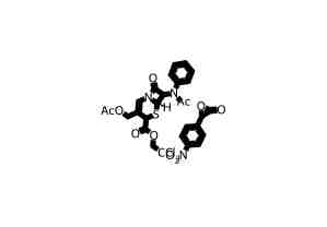 CC(=O)OCC1=CN2C(=O)C(N(C(C)=O)c3ccccc3)[C@H]2SC1C(=O)OCC(Cl)(Cl)Cl.O=C1OC1c1ccc([N+](=O)[O-])cc1